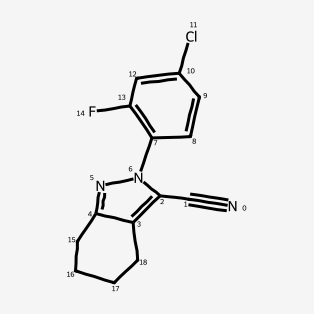 N#Cc1c2c(nn1-c1ccc(Cl)cc1F)CCCC2